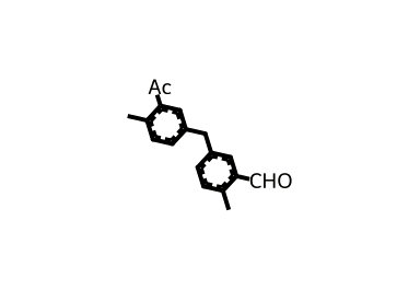 CC(=O)c1cc(Cc2ccc(C)c(C=O)c2)ccc1C